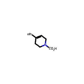 CCCC1=CCN(C(=O)O)CC1